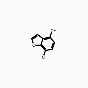 Oc1ccc(Cl)c2occc12